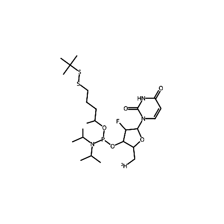 [2H]CC1OC(n2ccc(=O)[nH]c2=O)C(F)C1OP(OC(C)CCCSSC(C)(C)C)N(C(C)C)C(C)C